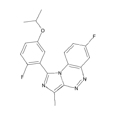 Cc1nc(-c2cc(OC(C)C)ccc2F)n2c1nnc1cc(F)ccc12